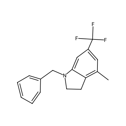 Cc1cc(C(F)(F)F)cc2c1CCN2Cc1ccccc1